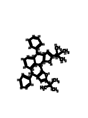 C[Si](C)(C)c1cc2c(o1)B1c3oc([Si](C)(C)C)cc3N(c3ccccc3)c3cccc(c31)N2c1ccccc1